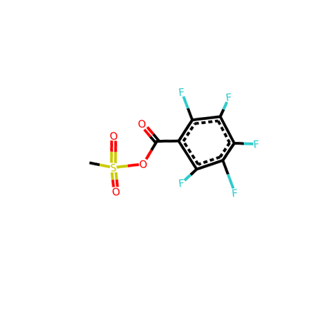 CS(=O)(=O)OC(=O)c1c(F)c(F)c(F)c(F)c1F